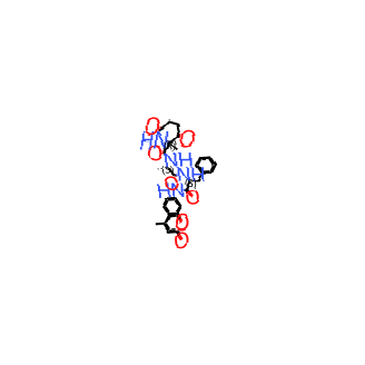 Cc1cc(=O)oc2cc(NC(=O)[C@H](Cc3ccccc3)NC(=O)[C@H](C)NC(=O)[C@]3(C)NC(=O)CCC3=O)ccc12